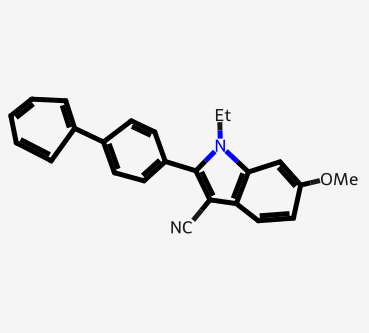 CCn1c(-c2ccc(-c3ccccc3)cc2)c(C#N)c2ccc(OC)cc21